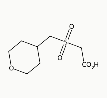 O=C(O)CS(=O)(=O)CC1CCOCC1